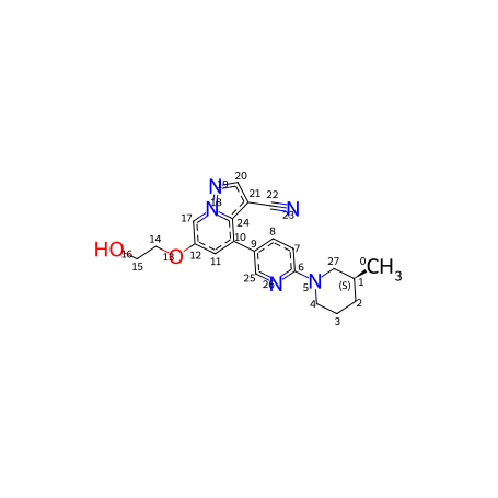 C[C@H]1CCCN(c2ccc(-c3cc(OCCO)cn4ncc(C#N)c34)cn2)C1